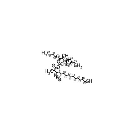 C=C(C(=O)OCC)C(CCCCCCCCCCCCS)N=C=O.C=C(C)C(=O)OCCCC.C=Cc1ccccc1